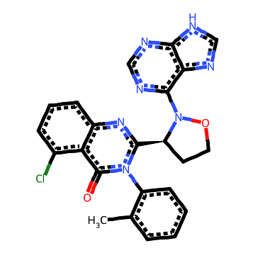 Cc1ccccc1-n1c([C@@H]2CCON2c2ncnc3[nH]cnc23)nc2cccc(Cl)c2c1=O